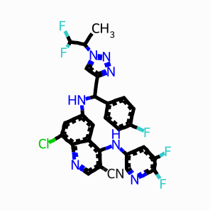 CC(C(F)F)n1cc(C(Nc2cc(Cl)c3ncc(C#N)c(Nc4cnc(F)c(F)c4)c3c2)c2ccc(F)cc2)nn1